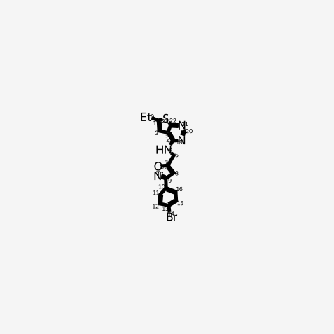 CCc1cc2c(NCc3cc(-c4ccc(Br)cc4)no3)ncnc2s1